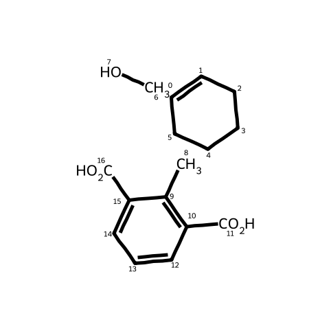 C1=CCCCC1.CO.Cc1c(C(=O)O)cccc1C(=O)O